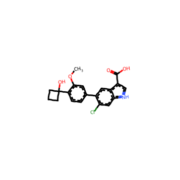 COc1cc(-c2cc3c(C(=O)O)c[nH]c3cc2Cl)ccc1C1(O)CCC1